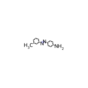 Cc1cccc(/N=N/c2ccc(N)cc2)c1